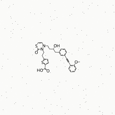 COc1ccccc1C#Cc1cccc(CC(O)CCN2C=CSC(=O)N2CCc2ccc(C(=O)O)s2)c1